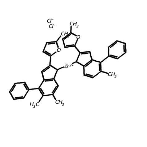 Cc1ccc(C2=Cc3c(ccc(C)c3-c3ccccc3)[CH]2[Zr+2][CH]2C(c3ccc(C)o3)=Cc3c2cc(C)c(C)c3-c2ccccc2)o1.[Cl-].[Cl-]